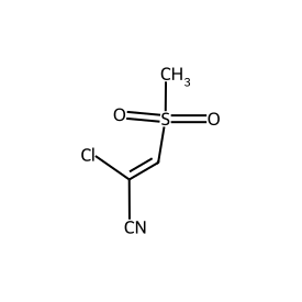 CS(=O)(=O)C=C(Cl)C#N